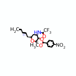 C=C/C=C/C[C@H]1C[C@H](NC(=O)C(F)(F)F)[C@@H](OC(=O)c2ccc([N+](=O)[O-])cc2)[C@@H](C)O1